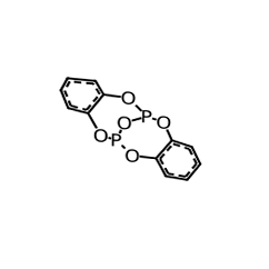 c1ccc2c(c1)OP1Oc3ccccc3OP(O2)O1